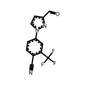 N#Cc1ccc(-n2ccc(C=O)n2)cc1C(F)(F)F